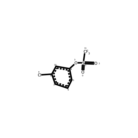 O=S(=O)(Oc1cc[c]c(Cl)c1)C(F)(F)F